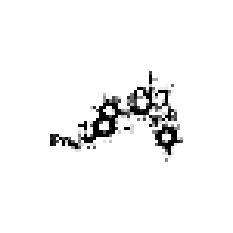 Cc1ccc(S(=O)(=O)N2CCNC(=O)C2CC(=O)N[C@@H]2CCCc3cc(CNCC(C)C)ccc32)cc1